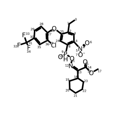 CCc1cc([N+](=O)[O-])c([PH](=O)ON=C(C(=O)OC)C2CCCCC2)cc1Oc1ccc(C(F)(F)F)cc1Cl